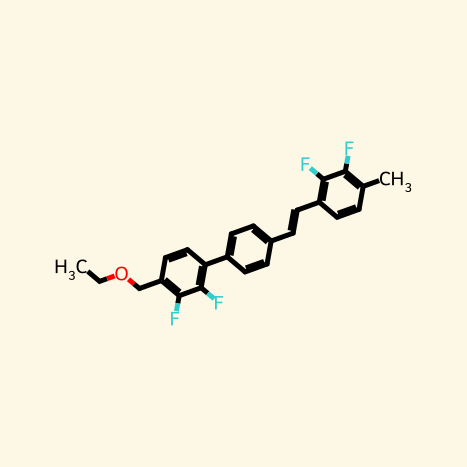 CCOCc1ccc(-c2ccc(/C=C/c3ccc(C)c(F)c3F)cc2)c(F)c1F